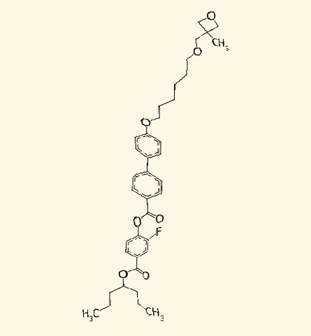 CCCC(CCC)OC(=O)c1ccc(OC(=O)c2ccc(-c3ccc(OCCCCCCOCC4(C)COC4)cc3)cc2)c(F)c1